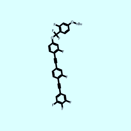 CCCCOc1ccc(C(F)(F)Oc2ccc(C#Cc3ccc(C#Cc4cc(F)c(F)c(F)c4)c(F)c3)c(F)c2)c(F)c1